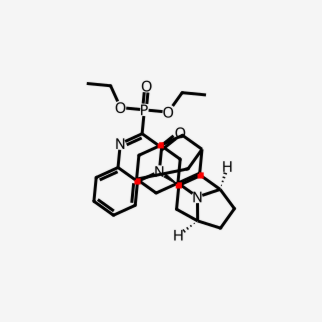 CCOP(=O)(OCC)c1nc2ccccc2n([C@H]2C[C@H]3CC[C@@H](C2)N3C23CC4CC(CC(C4)C2)C3)c1=O